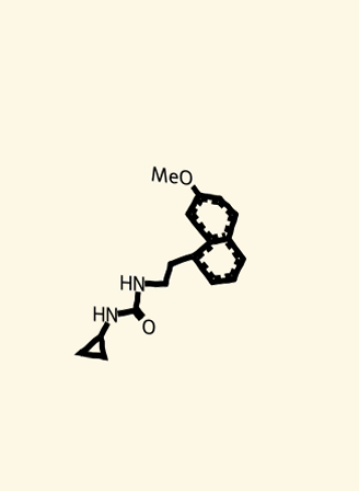 COc1ccc2cccc(CCNC(=O)NC3CC3)c2c1